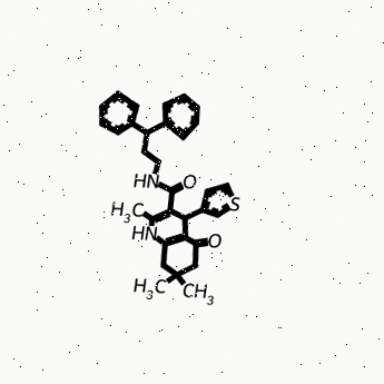 CC1=C(C(=O)NCCC(c2ccccc2)c2ccccc2)C(c2ccsc2)C2=C(CC(C)(C)CC2=O)N1